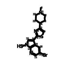 CN1CCC(c2csc(-c3cn(S)c4ncc(Br)cc34)n2)CC1